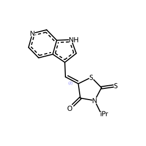 CC(C)N1C(=O)/C(=C/c2c[nH]c3cnccc23)SC1=S